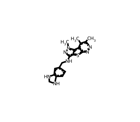 Cc1nnc2sc3c(NCc4ccc5c(c4)NCN5)nn(C)c3c2c1C